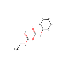 CCOC(=O)OC(=O)OC1CCCCC1